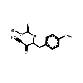 C#CC(=O)C(Cc1ccc(OC)cc1)NC(=O)OC(C)(C)C